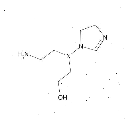 NCCN(CCO)N1C=NCC1